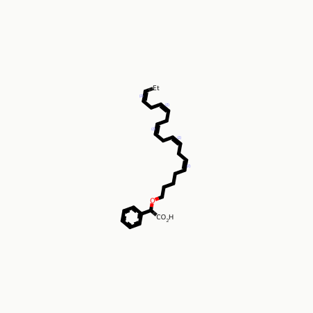 CC/C=C\C/C=C\C/C=C\C/C=C\C/C=C\CCCCOC(C(=O)O)c1ccccc1